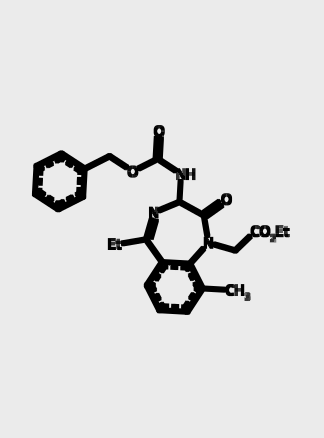 CCOC(=O)CN1C(=O)C(NC(=O)OCc2ccccc2)N=C(CC)c2cccc(C)c21